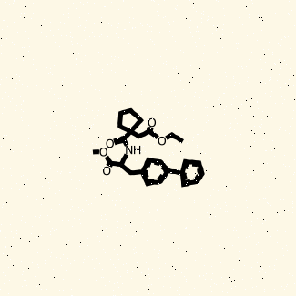 CCOC(=O)CC1(C(=O)NC(Cc2ccc(-c3ccccc3)cc2)C(=O)OC)CCCC1